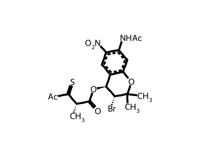 CC(=O)Nc1cc2c(cc1[N+](=O)[O-])[C@H](OC(=O)[C@H](C)C(=S)C(C)=O)[C@@H](Br)C(C)(C)O2